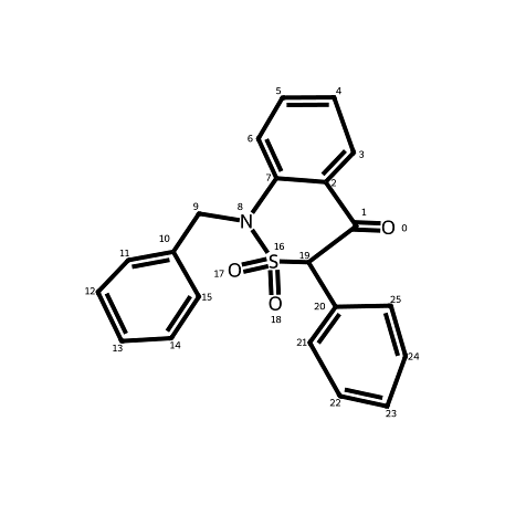 O=C1c2ccccc2N(Cc2ccccc2)S(=O)(=O)C1c1ccccc1